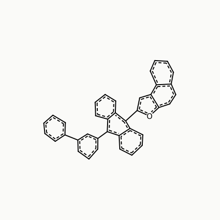 c1ccc(-c2cccc(-c3c4ccccc4c(-c4cc5c(ccc6ccccc65)o4)c4ccccc34)c2)cc1